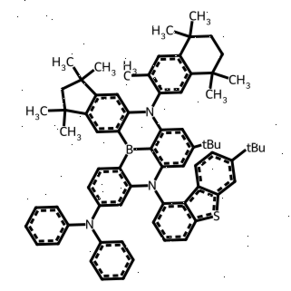 Cc1cc2c(cc1N1c3cc4c(cc3B3c5ccc(N(c6ccccc6)c6ccccc6)cc5N(c5cccc6sc7cc(C(C)(C)C)ccc7c56)c5cc(C(C)(C)C)cc1c53)C(C)(C)CC4(C)C)C(C)(C)CCC2(C)C